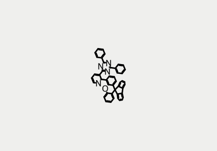 c1ccc(-c2nc(-c3ccccc3)nc(-c3cccnc3-c3cccc4c3Oc3ccccc3C43c4ccccc4-c4ccccc43)n2)cc1